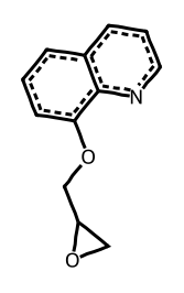 c1cnc2c(OCC3CO3)cccc2c1